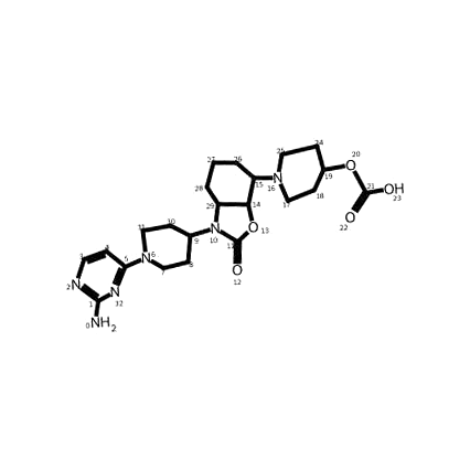 Nc1nccc(N2CCC(N3C(=O)OC4C(N5CCC(OC(=O)O)CC5)CCCC43)CC2)n1